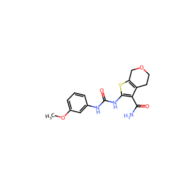 COc1cccc(NC(=O)Nc2sc3c(c2C(N)=O)CCOC3)c1